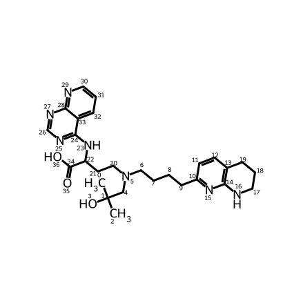 CC(C)(O)CN(CCCCc1ccc2c(n1)NCCC2)CCC(Nc1ncnc2ncccc12)C(=O)O